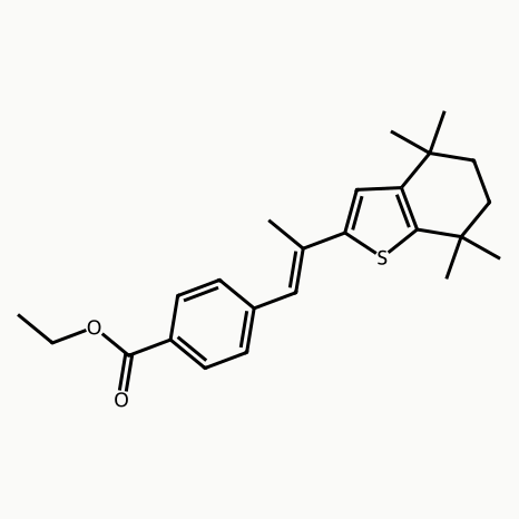 CCOC(=O)c1ccc(C=C(C)c2cc3c(s2)C(C)(C)CCC3(C)C)cc1